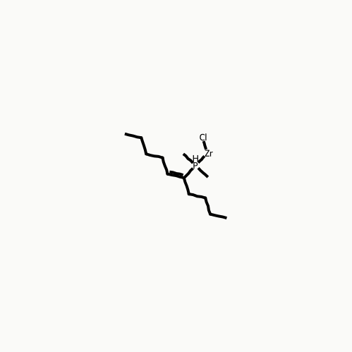 CCCCC=C(CCCC)[PH](C)(C)[Zr][Cl]